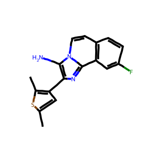 Cc1cc(-c2nc3c4cc(F)ccc4ccn3c2N)c(C)s1